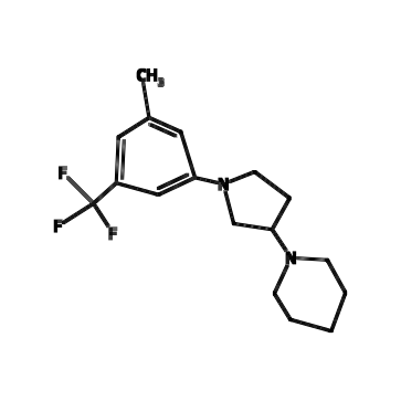 Cc1cc(N2CCC(N3CCCCC3)C2)cc(C(F)(F)F)c1